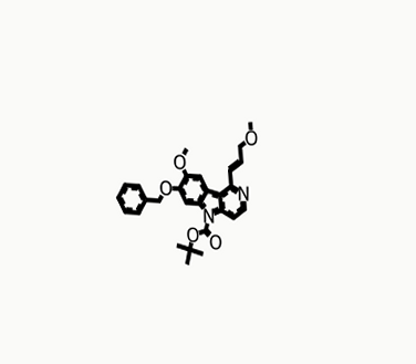 COC/C=C/c1nccc2c1c1cc(OC)c(OCc3ccccc3)cc1n2C(=O)OC(C)(C)C